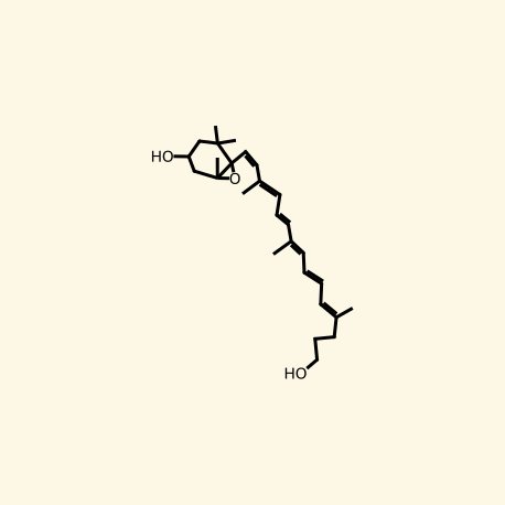 CC(/C=C\C12OC1(C)CC(O)CC2(C)C)=C\C=C\C(C)=C\C=C\C=C(/C)CCCO